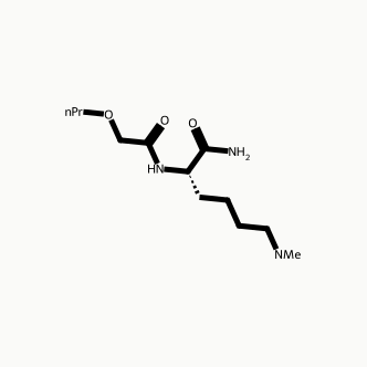 CCCOCC(=O)N[C@@H](CCCCNC)C(N)=O